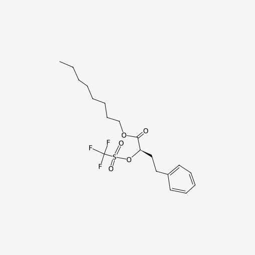 CCCCCCCCOC(=O)[C@@H](CCc1ccccc1)OS(=O)(=O)C(F)(F)F